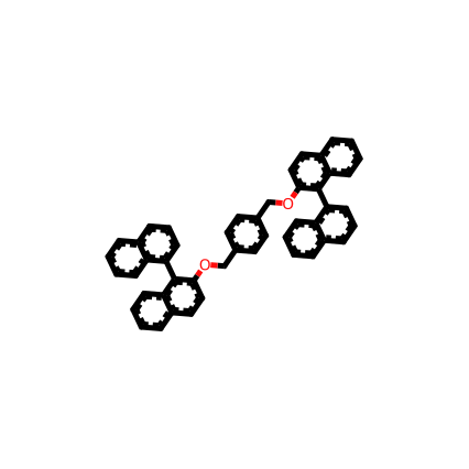 c1ccc2c(-c3c(OCc4ccc(COc5ccc6ccccc6c5-c5cccc6ccccc56)cc4)ccc4ccccc34)cccc2c1